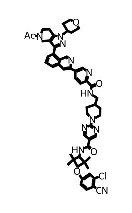 CC(=O)N1CCc2c(c(-c3cccc4cc(-c5ccc(C(=O)NCC6CCN(c7ncc(C(=O)NC8C(C)(C)C(Oc9ccc(C#N)c(Cl)c9)C8(C)C)cn7)CC6)nc5)ncc34)nn2C2CCOCC2)C1